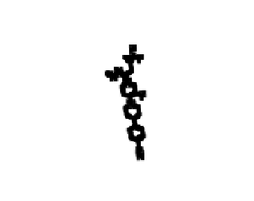 C=N/N=C(/CC1CC1(F)F)N1C=CC(N2CCC(c3ccc(C#N)cc3)CC2)=C(F)C1